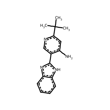 CC(C)(C)c1cc(N)c(-c2nc3ccccc3[nH]2)cn1